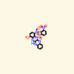 COc1ccc(NC=O)cc1Nc1nc2ccccc2nc1NS(=O)(=O)c1cccc([N+](=O)[O-])c1